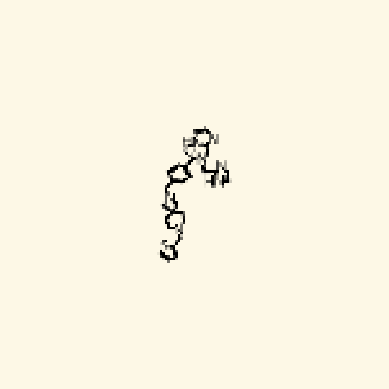 O=C(c1ccc(CN2CC3(CCN(Cc4cccs4)CC3)C2)cc1)N(Cc1ncc[nH]1)Cc1ncc[nH]1